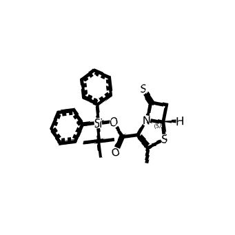 CC1=C(C(=O)O[Si](c2ccccc2)(c2ccccc2)C(C)(C)C)N2C(=S)C[C@@H]2S1